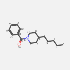 CCCC[CH]C1CCN(C(=O)c2ccccc2)CC1